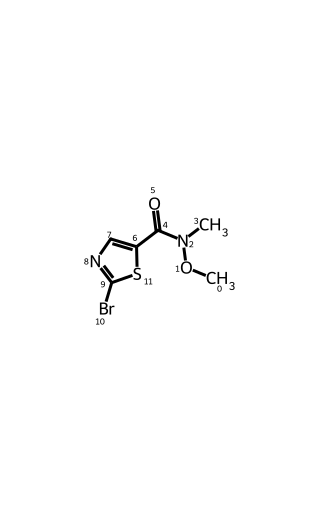 CON(C)C(=O)c1cnc(Br)s1